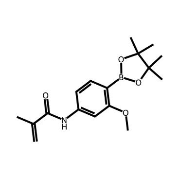 C=C(C)C(=O)Nc1ccc(B2OC(C)(C)C(C)(C)O2)c(OC)c1